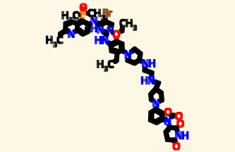 CCOc1cc(N2CCC(NCCNCC3CCN(c4cccc5c4oc(=O)n5C4CCC(=O)NC4=O)CC3)CC2)c(CC)cc1Nc1ncc(Br)c(Nc2ccc3nc(CC)ccc3c2P(C)(C)=O)n1